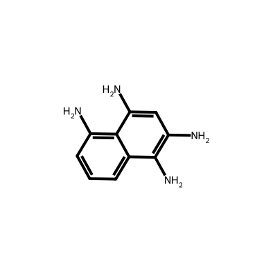 Nc1cc(N)c2c(N)cccc2c1N